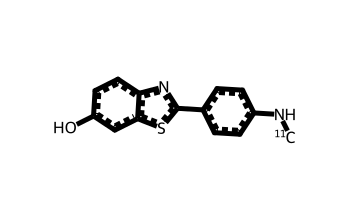 [11CH3]Nc1ccc(-c2nc3ccc(O)cc3s2)cc1